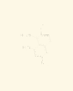 C#Cc1c(F)ccc2cc(N)cc(N)c12